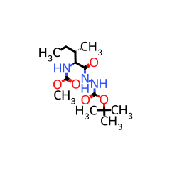 CC[C@H](C)[C@H](NC(=O)OC)C(=O)NNC(=O)OC(C)(C)C